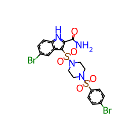 NC(=O)c1[nH]c2ccc(Br)cc2c1S(=O)(=O)N1CCN(S(=O)(=O)c2ccc(Br)cc2)CC1